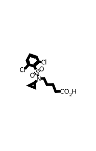 O=C(O)CCCCN(C1CC1)S(=O)(=O)c1c(Cl)cccc1Cl